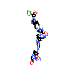 C[C@H]1CC2(CCN(c3ccc(C(=O)N4CCC5(CC4)CC(N4CCN(c6ccc(N7CCC(=O)NC7=O)cc6)CC4)C5)cn3)CC2)CN1c1ccc(C=O)c(Cl)c1